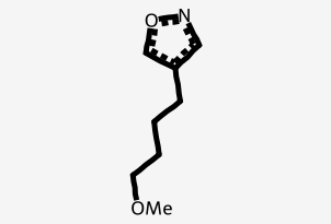 [CH2]OCCCCc1cnoc1